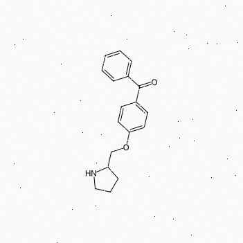 O=C(c1ccccc1)c1ccc(OCC2CCCN2)cc1